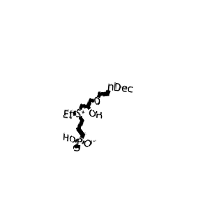 CCCCCCCCCCCCOCC(O)C[S+](CC)CCCP(=O)([O-])O